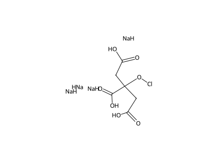 O=C(O)CC(CC(=O)O)(OCl)C(=O)O.[NaH].[NaH].[NaH].[NaH]